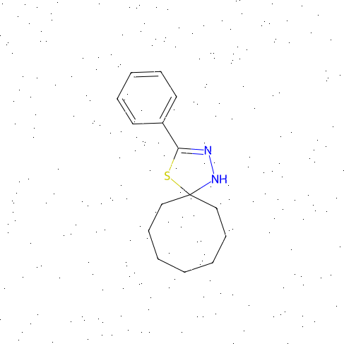 c1ccc(C2=NNC3(CCCCCCC3)S2)cc1